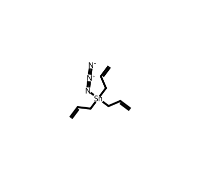 C=C[CH2][Sn]([CH2]C=C)([CH2]C=C)[N]=[N+]=[N-]